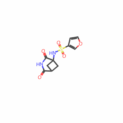 O=C1NC(=O)C2(NS(=O)(=O)c3ccoc3)CC1C2